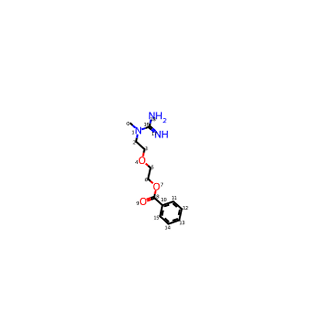 CN(CCOCCOC(=O)c1ccccc1)C(=N)N